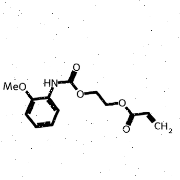 C=CC(=O)OCCOC(=O)Nc1ccccc1OC